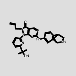 C=CCn1c(=O)c2cnc(Nc3ccc4c(c3)C3CC4CN3)nc2n1-c1cccc(C(C)(C)O)n1